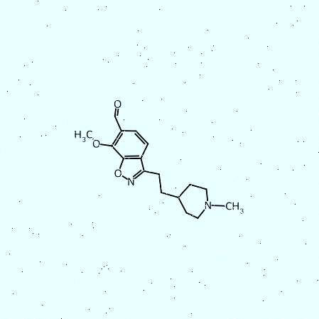 COc1c(C=O)ccc2c(CCC3CCN(C)CC3)noc12